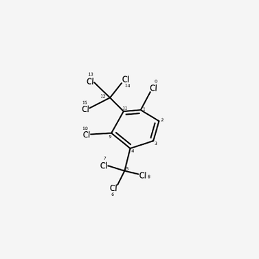 Clc1ccc(C(Cl)(Cl)Cl)c(Cl)c1C(Cl)(Cl)Cl